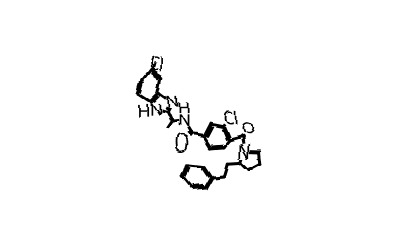 CC(NC(=O)c1ccc(C(=O)N2CCCC2CCc2ccccc2)c(Cl)c1)c1nc2cc(Cl)ccc2[nH]1